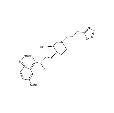 COc1ccc2nccc(C(F)CC[C@@H]3CCN(CCCc4ncco4)C[C@@H]3C(=O)O)c2c1